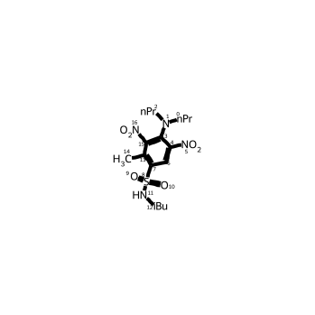 CCCN(CCC)c1c([N+](=O)[O-])cc(S(=O)(=O)NC(C)CC)c(C)c1[N+](=O)[O-]